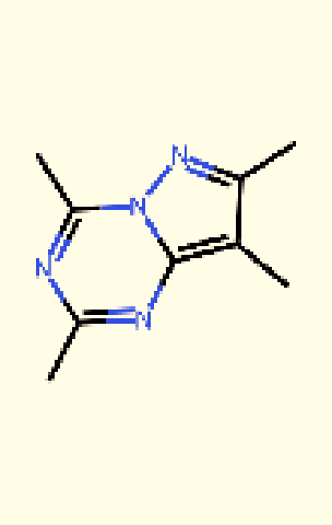 Cc1nc(C)n2nc(C)c(C)c2n1